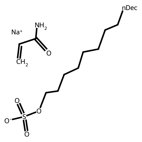 C=CC(N)=O.CCCCCCCCCCCCCCCCCCOS(=O)(=O)[O-].[Na+]